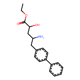 CCOC(=O)C(O)CC(N)Cc1ccc(-c2ccccc2)cc1